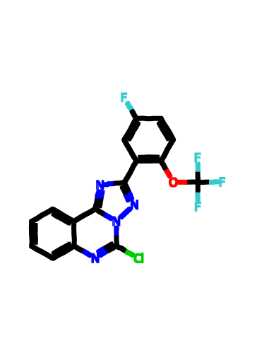 Fc1ccc(OC(F)(F)F)c(-c2nc3c4ccccc4nc(Cl)n3n2)c1